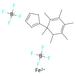 CC1=C(C)C(C)C(C)(C2=CC=CC2)C(C)=C1C.F[B-](F)(F)F.F[B-](F)(F)F.[Fe+2]